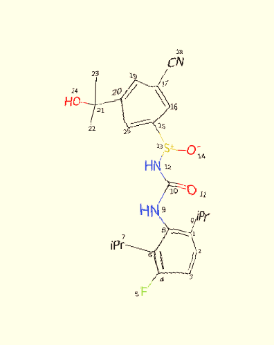 CC(C)c1ccc(F)c(C(C)C)c1NC(=O)N[S+]([O-])c1cc(C#N)cc(C(C)(C)O)c1